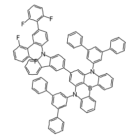 Fc1cccc(F)c1-c1ccc(-n2c3ccccc3c3cc(-c4cc5c6c(c4)N(c4cc(-c7ccccc7)cc(-c7ccccc7)c4)c4ccccc4B6c4ccccc4N5c4cc(-c5ccccc5)cc(-c5ccccc5)c4)ccc32)c(-c2c(F)cccc2F)c1